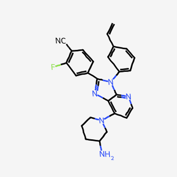 C=Cc1cccc(-n2c(-c3ccc(C#N)c(F)c3)nc3c(N4CCCC(N)C4)ccnc32)c1